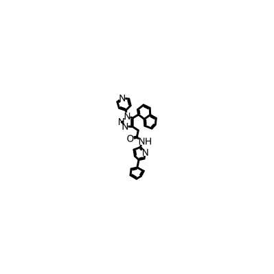 O=C(Cc1nnn(-c2ccncc2)c1-c1cccc2ccccc12)Nc1ccc(-c2ccccc2)cn1